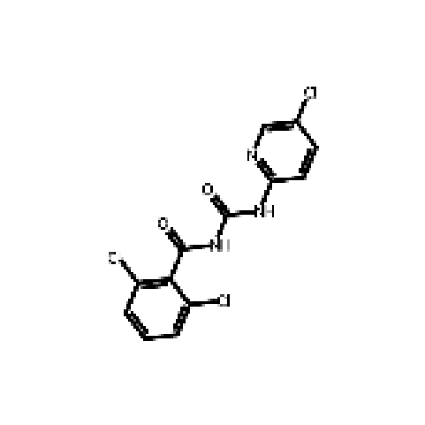 O=C(NC(=O)c1c(Cl)cccc1Cl)Nc1ccc(Cl)cn1